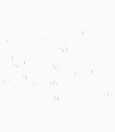 CCONCC(N)OC(c1nc(C)nn1-c1cc(Cl)ccc1C(F)(F)F)[C@@H](O)CN/C=C(\C=N)c1ccc(OC)c(F)c1F